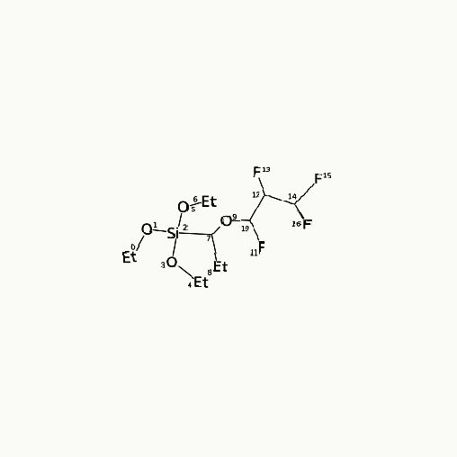 CCO[Si](OCC)(OCC)C(CC)OC(F)C(F)C(F)F